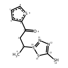 CC(CC(=O)c1cccs1)S1=NN=C(S)S1